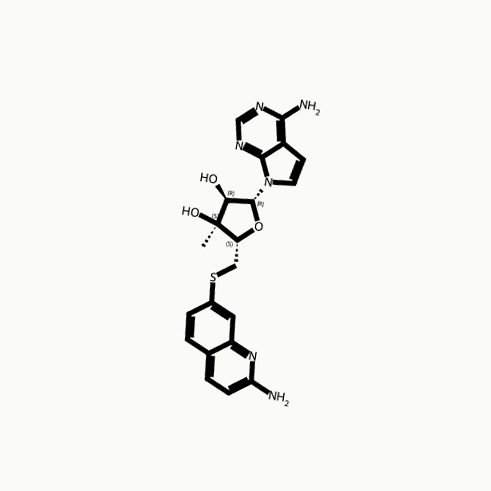 C[C@@]1(O)[C@@H](CSc2ccc3ccc(N)nc3c2)O[C@@H](n2ccc3c(N)ncnc32)[C@@H]1O